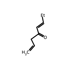 C=CCC(=O)C=CCC